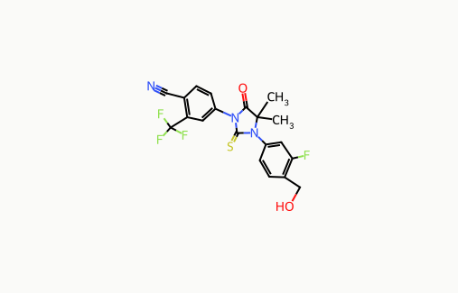 CC1(C)C(=O)N(c2ccc(C#N)c(C(F)(F)F)c2)C(=S)N1c1ccc(CO)c(F)c1